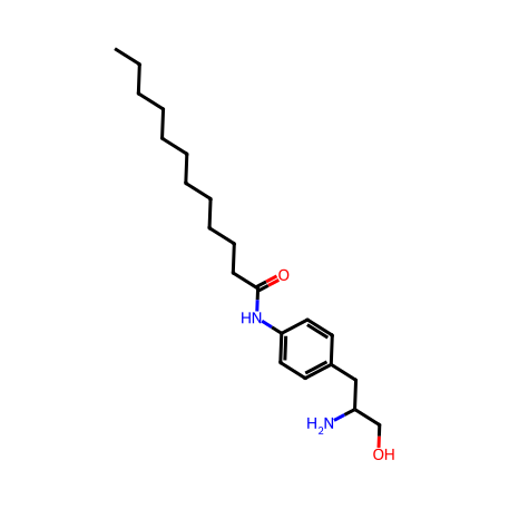 CCCCCCCCCCCC(=O)Nc1ccc(CC(N)CO)cc1